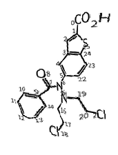 O=C(O)c1cc2cc(N(C(=O)c3ccccc3)N(CCCl)CCCl)ccc2s1